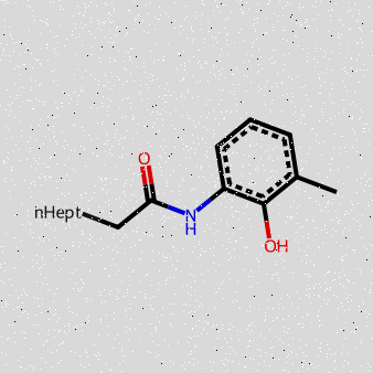 CCCCCCCCC(=O)Nc1cccc(C)c1O